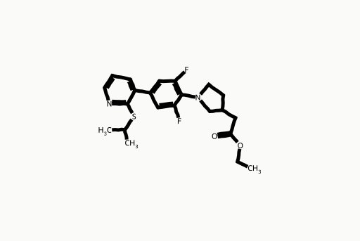 CCOC(=O)CC1CCN(c2c(F)cc(-c3cccnc3SC(C)C)cc2F)C1